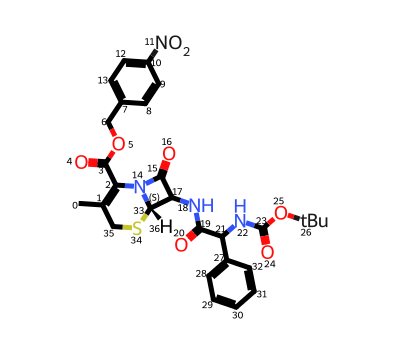 CC1=C(C(=O)OCc2ccc([N+](=O)[O-])cc2)N2C(=O)C(NC(=O)C(NC(=O)OC(C)(C)C)c3ccccc3)[C@@H]2SC1